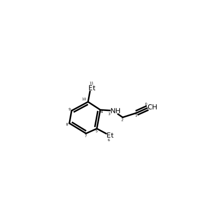 C#CCNc1c(CC)cccc1CC